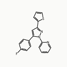 Fc1ccc(-c2cc(-c3cccs3)nn2-c2ccccn2)cc1